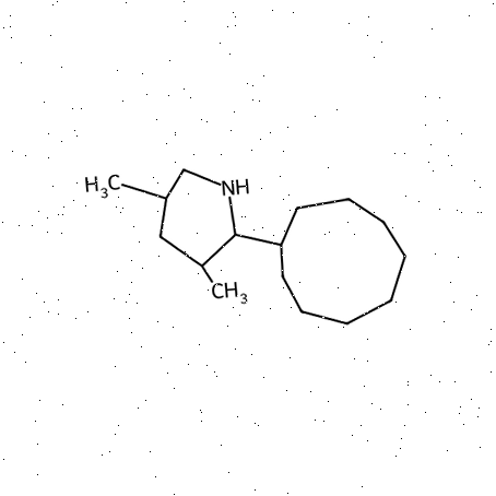 CC1CNC(C2CCCCCCCC2)C(C)C1